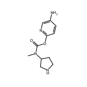 CN(C(=O)Oc1ccc(N)cn1)C1CCNC1